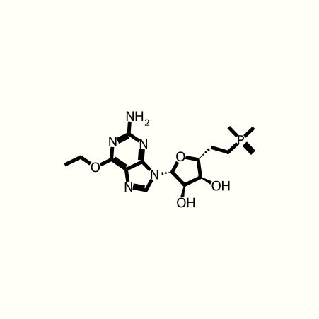 C=P(C)(C)CC[C@H]1O[C@@H](n2cnc3c(OCC)nc(N)nc32)[C@H](O)[C@@H]1O